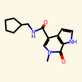 Cn1cc(C(=O)NCC2CCCC2)c2cc[nH]c2c1=O